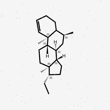 CC[C@H]1CC[C@H]2[C@@H]3C[C@H](C)C4CCC=C[C@]4(C)[C@H]3CC[C@]12C